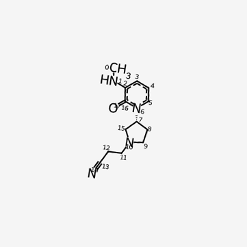 CNc1cccn([C@@H]2CCN(CCC#N)C2)c1=O